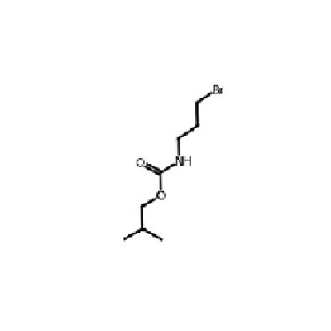 CC(C)COC(=O)NCCCBr